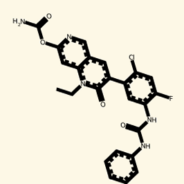 CCn1c(=O)c(-c2cc(NC(=O)Nc3ccccc3)c(F)cc2Cl)cc2cnc(OC(N)=O)cc21